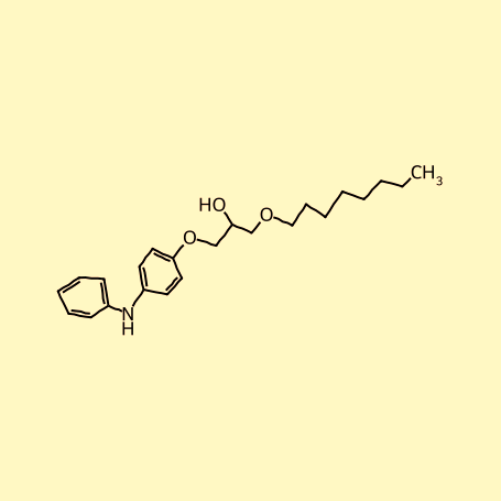 CCCCCCCCOCC(O)COc1ccc(Nc2ccccc2)cc1